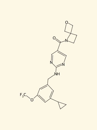 O=C(c1cnc(NCc2cc(OC(F)(F)F)cc(C3CC3)c2)nc1)N1CCC12COC2